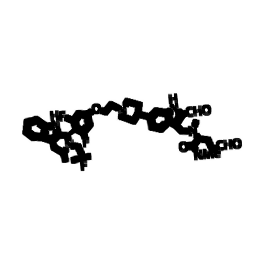 CNC(=O)C(CCC=O)N(C)Cc1c(C=O)[nH]c2cc(C3CCN(CCOc4cc(F)c([C@@H]5c6[nH]c7ccccc7c6CC(C)N5CC(C)(C)F)c(F)c4)CC3)ccc12